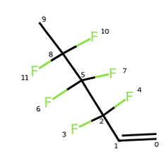 C=CC(F)(F)C(F)(F)C(C)(F)F